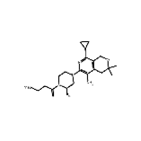 CSCCC(=O)N1CCN(c2nc(C3CC3)c3c(c2N)CC(C)(C)OC3)C[C@H]1C(C)C